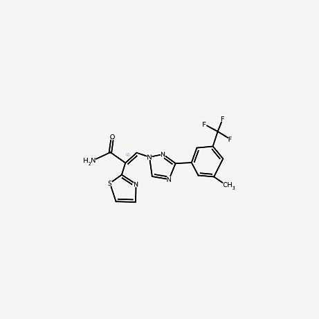 Cc1cc(-c2ncn(/C=C(/C(N)=O)c3nccs3)n2)cc(C(F)(F)F)c1